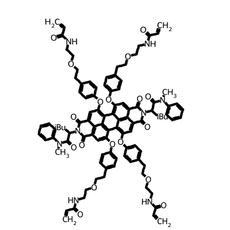 C=CC(=O)NCCOCCc1ccc(Oc2cc3c4c(cc(Oc5ccc(CCOCCNC(=O)C=C)cc5)c5c6c(Oc7ccc(CCOCCNC(=O)C=C)cc7)cc7c8c(cc(Oc9ccc(CCOCCNC(=O)C=C)cc9)c(c2c45)c86)C(=O)N(C(C(=O)N(C)c2ccccc2)C(C)CC)C7=O)C(=O)N(C(C(=O)N(C)c2ccccc2)C(C)CC)C3=O)cc1